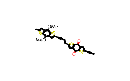 CC#Cc1cc2c(s1)C(=O)c1cc(CCC#Cc3cc4c(OC)c5sc(C)cc5c(OC)c4s3)sc1C2=O